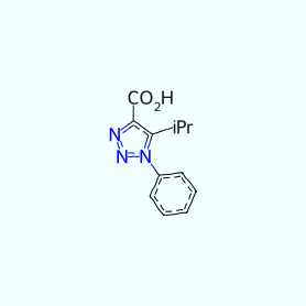 CC(C)c1c(C(=O)O)nnn1-c1ccccc1